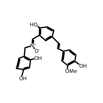 COc1cc(C=Cc2ccc(O)c(C=[N+]([O-])Cc3ccc(O)cc3O)c2)ccc1O